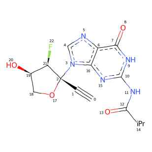 C#C[C@@]1(n2cnc3c(=O)[nH]c(NC(=O)C(C)C)nc32)OC[C@@H](O)[C@H]1F